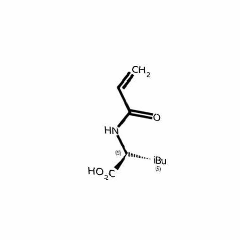 C=CC(=O)N[C@H](C(=O)O)[C@@H](C)CC